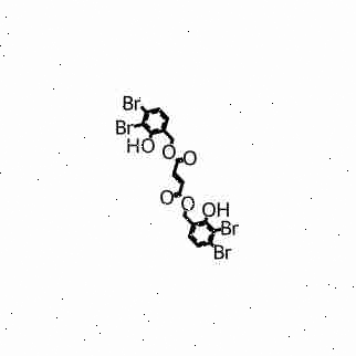 O=C(/C=C/C(=O)OCc1ccc(Br)c(Br)c1O)OCc1ccc(Br)c(Br)c1O